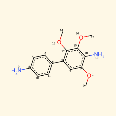 COc1cc(-c2ccc(N)cc2)c(OC)c(OC)c1N